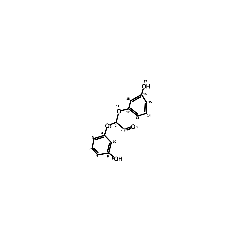 O=PC(Oc1cccc(O)c1)Oc1cccc(O)c1